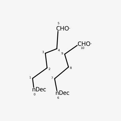 CCCCCCCCCCCCCC[C]=O.CCCCCCCCCCCCC[C]=O